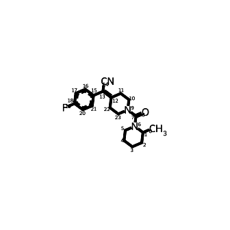 CC1CCCCN1C(=O)N1CCC(=C(C#N)c2ccc(F)cc2)CC1